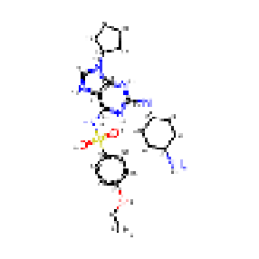 CCOc1ccc(S(=O)(=O)Nc2nc(N[C@H]3CC[C@H](N)CC3)nc3c2ncn3C2CCCC2)cc1